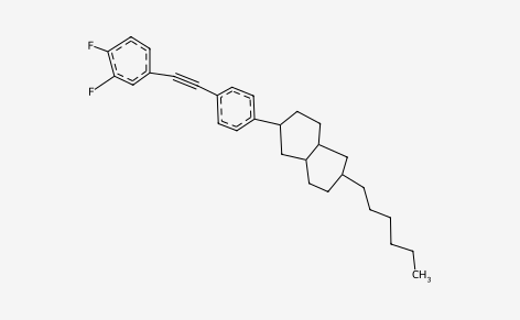 CCCCCCC1CCC2CC(c3ccc(C#Cc4ccc(F)c(F)c4)cc3)CCC2C1